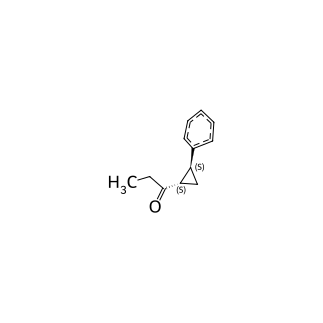 CCC(=O)[C@H]1C[C@@H]1c1ccccc1